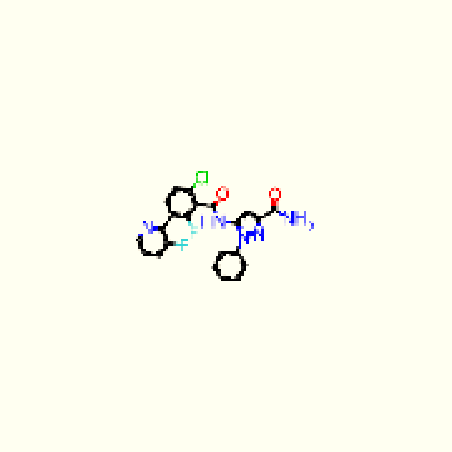 NC(=O)c1cc(NC(=O)c2c(Cl)ccc(-c3ncccc3F)c2F)n(-c2ccccc2)n1